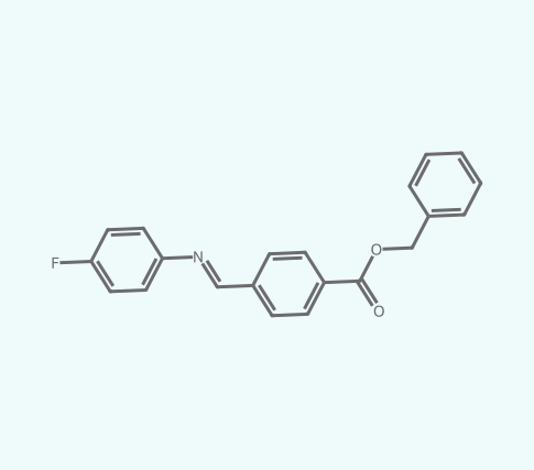 O=C(OCc1ccccc1)c1ccc(C=Nc2ccc(F)cc2)cc1